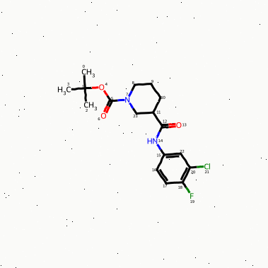 CC(C)(C)OC(=O)N1CCCC(C(=O)Nc2ccc(F)c(Cl)c2)C1